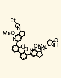 CCC1CN([C@@H]2CCc3cc(-c4cccc(-c5cccc(-c6cc7c(c(OC)n6)[C@@H](NC[C@@H]6CCC(=O)N6)CC7)c5Cl)c4Cl)nc(OC)c32)C1